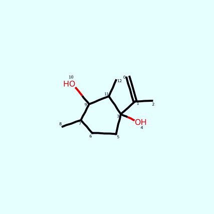 C=C(C)C1(O)CCC(C)C(O)C1C